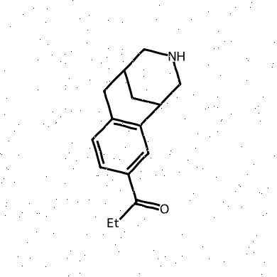 CCC(=O)c1ccc2c(c1)C1CNCC(C2)C1